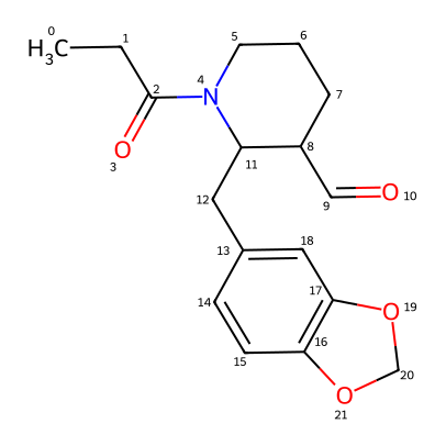 CCC(=O)N1CCCC(C=O)C1Cc1ccc2c(c1)OCO2